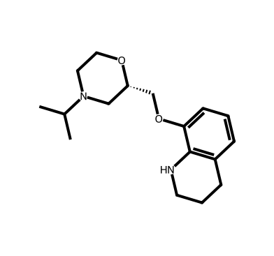 CC(C)N1CCO[C@H](COc2cccc3c2NCCC3)C1